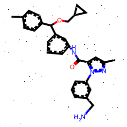 Cc1ccc(C(OCC2CC2)c2cccc(NC(=O)c3cc(C)nn3-c3cccc(CN)c3)c2)cc1